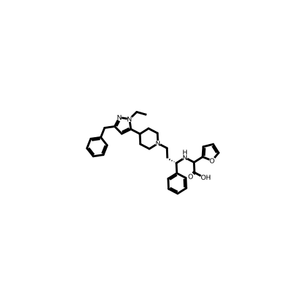 CCn1nc(Cc2ccccc2)cc1C1CCN(CC[C@H](NC(C(=O)O)c2ccco2)c2ccccc2)CC1